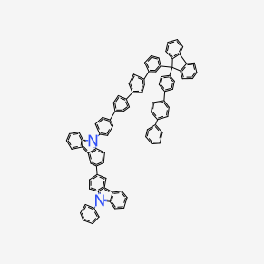 c1ccc(-c2ccc(-c3ccc(C4(c5cccc(-c6ccc(-c7ccc(-c8ccc(-n9c%10ccccc%10c%10cc(-c%11ccc%12c(c%11)c%11ccccc%11n%12-c%11ccccc%11)ccc%109)cc8)cc7)cc6)c5)c5ccccc5-c5ccccc54)cc3)cc2)cc1